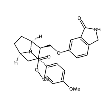 COc1ccc([C@@H]2C[C@H]3CC[C@@H]([C@H]2COc2ccc4c(c2)C(=O)NC4)N3C(=O)OC(C)(C)C)cc1